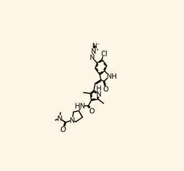 Cc1[nH]c(/C=C2\C(=O)Nc3cc(Cl)c(N=[N+]=[N-])cc32)c(C)c1C(=O)N[C@H]1CCN(C(=O)N(C)C)C1